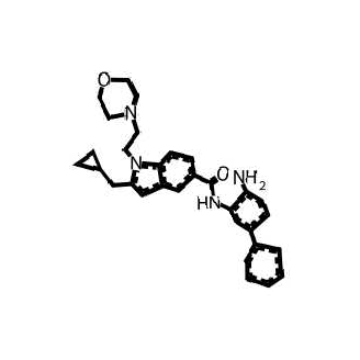 Nc1ccc(-c2ccccc2)cc1NC(=O)c1ccc2c(c1)cc(CC1CC1)n2CCN1CCOCC1